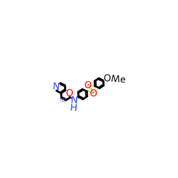 COc1ccc(S(=O)(=O)c2ccc(NC(=O)/C=C\c3cccnc3)cc2)cc1